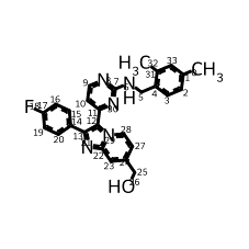 Cc1ccc(CNc2nccc(-c3c(-c4ccc(F)cc4)nc4cc(CO)ccn34)n2)c(C)c1